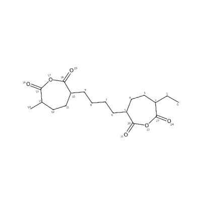 CCC1CCC(CCCCC2CCC(C)C(=O)OC2=O)C(=O)OC1=O